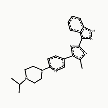 Cc1sc(-c2n[nH]c3ccccc23)nc1-c1ccc(N2CCN(C(C)C)CC2)nc1